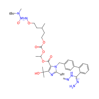 C=NN/C(=N\N)c1ccccc1-c1ccc(Cn2c(CCC)nc(C(C)(C)O)c2C(=O)OC(C)OC(=O)OCCC(C)CCO/N=[N+](\[O-])N(C)C(C)(C)C)cc1